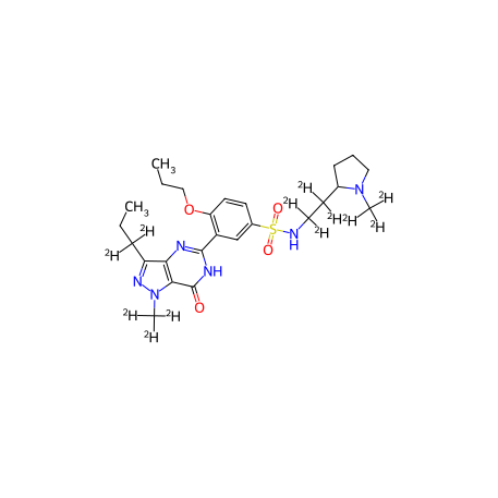 [2H]C([2H])(CC)c1nn(C([2H])([2H])[2H])c2c(=O)[nH]c(-c3cc(S(=O)(=O)NC([2H])([2H])C([2H])([2H])C4CCCN4C([2H])([2H])[2H])ccc3OCCC)nc12